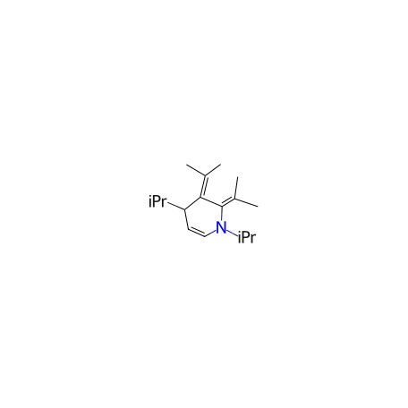 CC(C)=C1C(=C(C)C)N(C(C)C)C=CC1C(C)C